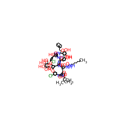 CCCCCCCNC(=O)NC(=O)C[C@@H]1CC(=O)[C@H](NC(=O)[C@H](CC)CC(C)C)[C@H](O)c2ccc(c(Cl)c2)Oc2cc3cc(c2O[C@@H]2O[C@H](CO)[C@@H](O)[C@H](O)[C@H]2O)Oc2ccc(cc2Cl)[C@@H](O)[C@@H]2NC(=O)[C@H](CC(=O)[C@@H]3NC1=O)c1ccc(O)c(c1)-c1c(O)cc(O)cc1[C@@H](C(=O)CC1C3CC4CC(C3)CC1C4)NC2=O